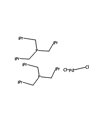 CC(C)CP(CC(C)C)CC(C)C.CC(C)CP(CC(C)C)CC(C)C.[Cl][Pd][Cl]